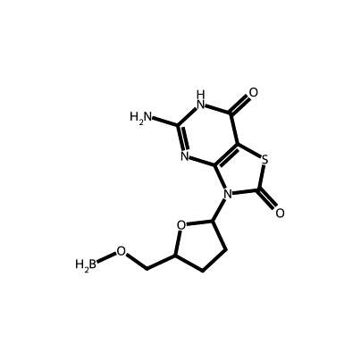 BOCC1CCC(n2c(=O)sc3c(=O)[nH]c(N)nc32)O1